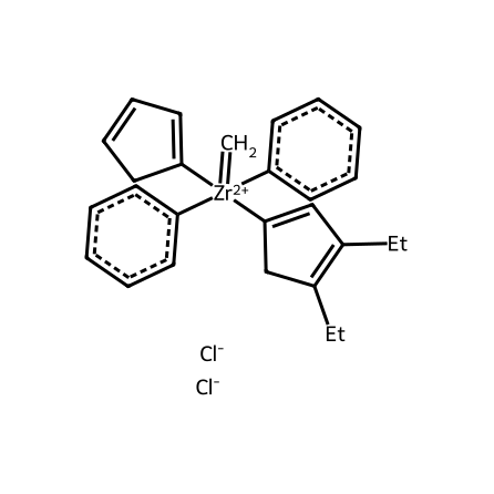 [CH2]=[Zr+2]([C]1=CC=CC1)([C]1=CC(CC)=C(CC)C1)([c]1ccccc1)[c]1ccccc1.[Cl-].[Cl-]